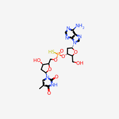 Cc1cn([C@H]2C[C@@H](O)C(COP(=O)(S)O[C@@H]3C[C@H](n4cnc5c(N)ncnc54)OC3CO)O2)c(=O)[nH]c1=O